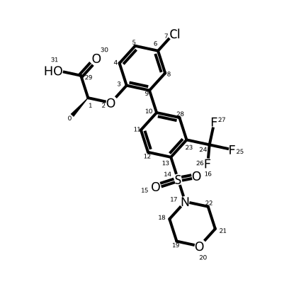 C[C@H](Oc1ccc(Cl)cc1-c1ccc(S(=O)(=O)N2CCOCC2)c(C(F)(F)F)c1)C(=O)O